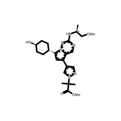 COC[C@H](C)Nc1ncc2c(-c3cnn(C(C)(C)C(=O)OC)c3)cc([C@H]3CC[C@H](O)CC3)n2n1